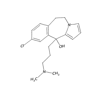 CN(C)CCCC1(O)c2cc(Cl)ccc2CCn2cccc21